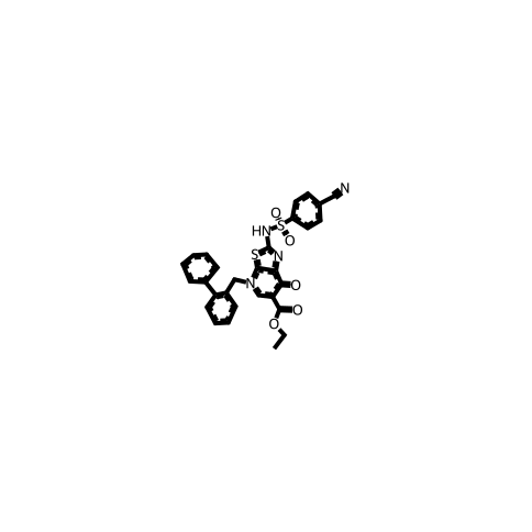 CCOC(=O)c1cn(Cc2ccccc2-c2ccccc2)c2sc(NS(=O)(=O)c3ccc(C#N)cc3)nc2c1=O